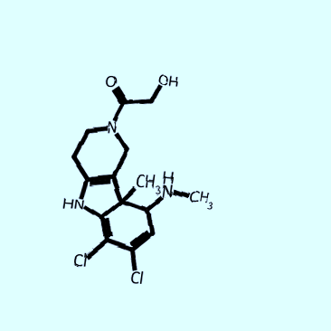 CNC1C=C(Cl)C(Cl)=C2NC3=C(CN(C(=O)CO)CC3)C21C